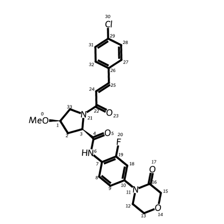 CO[C@@H]1C[C@H](C(=O)Nc2ccc(N3CCOCC3=O)cc2F)N(C(=O)/C=C/c2ccc(Cl)cc2)C1